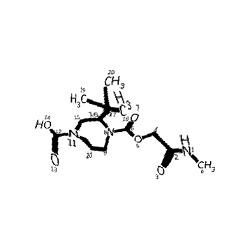 CNC(=O)COC(=O)N1CCN(C(=O)O)CC1C(C)(C)C